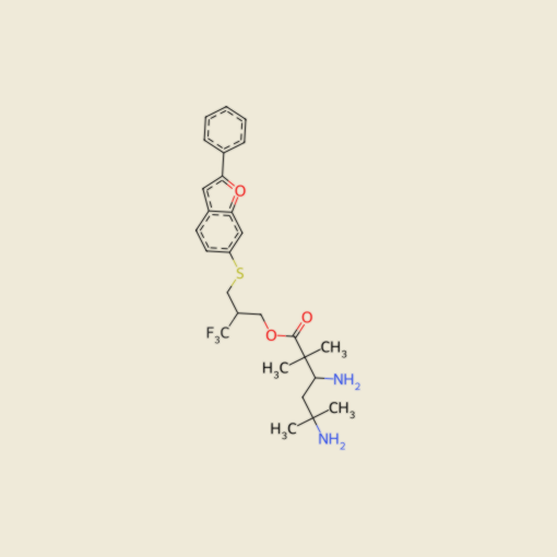 CC(C)(N)CC(N)C(C)(C)C(=O)OCC(CSc1ccc2cc(-c3ccccc3)oc2c1)C(F)(F)F